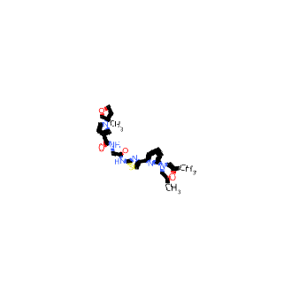 CC1CN(c2cccc(-c3csc(NC(=O)CNC(=O)c4ccn(C5(C)CCOC5)c4)n3)n2)CC(C)O1